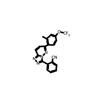 Cc1cc(OC(F)(F)F)ccc1-c1ccc2nnc(-c3ccccc3C#N)n2n1